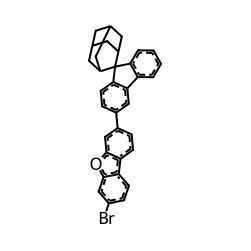 Brc1ccc2c(c1)oc1cc(-c3ccc4c(c3)-c3ccccc3C43C4CC5CC(C4)CC3C5)ccc12